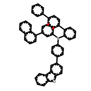 c1ccc(-c2ccc(-c3ccccc3N(c3ccc(-c4ccc5oc6ccccc6c5c4)cc3)c3cccc(-c4cccc5ccccc45)c3)cc2)cc1